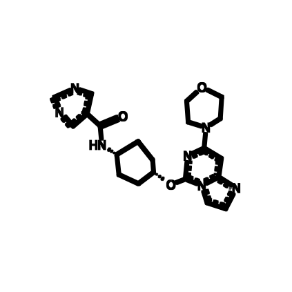 O=C(N[C@H]1CC[C@@H](Oc2nc(N3CCOCC3)cc3nccn23)CC1)c1cncnc1